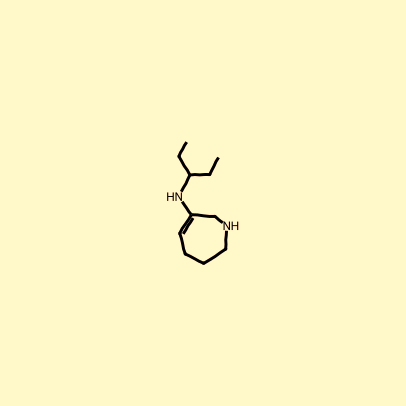 CCC(CC)NC1=CCCCNC1